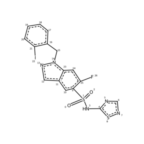 O=S(=O)(Nc1ncns1)c1cc2cnn(Cc3ccccc3I)c2cc1F